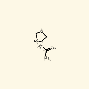 C1COCN1.CC(C)=O